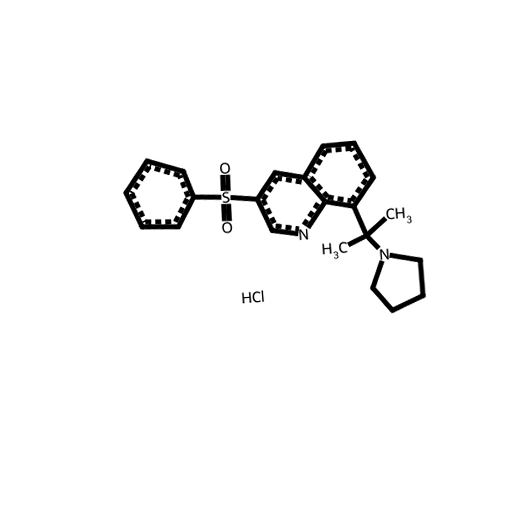 CC(C)(c1cccc2cc(S(=O)(=O)c3ccccc3)cnc12)N1CCCC1.Cl